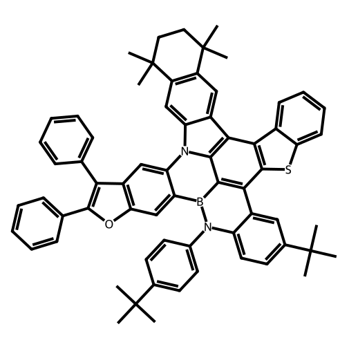 CC(C)(C)c1ccc(N2B3c4cc5oc(-c6ccccc6)c(-c6ccccc6)c5cc4-n4c5cc6c(cc5c5c7c(sc8ccccc87)c(c3c54)-c3cc(C(C)(C)C)ccc32)C(C)(C)CCC6(C)C)cc1